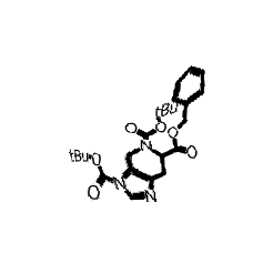 CC(C)(C)OC(=O)N1Cc2c(ncn2C(=O)OC(C)(C)C)CC1C(=O)OCc1ccccc1